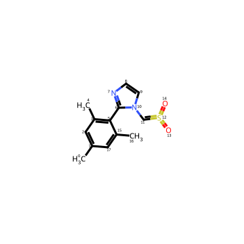 Cc1cc(C)c(-c2nccn2C=S(=O)=O)c(C)c1